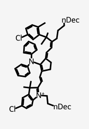 CCCCCCCCCCCCC/C(=C/C=C1\CCC(/C=C/C2=[N+](CCCCCCCCCCCC)c3ccc(Cl)cc3C2(C)C)=C1N(c1ccccc1)c1ccccc1)C(C)(C)c1cc(Cl)ccc1C